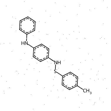 Cc1ccc(SNc2ccc(Nc3ccccc3)cc2)cc1